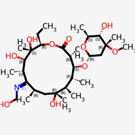 CC[C@H]1OC(=O)[C@H](C)[C@@H](O[C@H]2C[C@@](C)(OC)[C@@H](O)[C@H](C)O2)[C@H](C)[C@@H](C)[C@](C)(O)C[C@@H](C)/C(=N\CO)[C@H](C)[C@@H](O)[C@]1(C)O